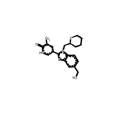 Cc1cc(-c2nc3cc(CO)ccc3n2CC2CCCCO2)c[nH]c1=O